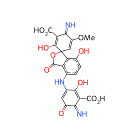 COC1=CC2(OC(=O)c3c(NC4=CC(=O)C(=N)C(C(=O)O)=C4O)ccc(O)c32)C(O)=C(C(=O)O)C1=N